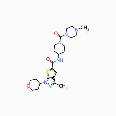 Cc1nn(C2CCOCC2)c2sc(C(=O)NC3CCN(C(=O)N4CCN(C)CC4)CC3)cc12